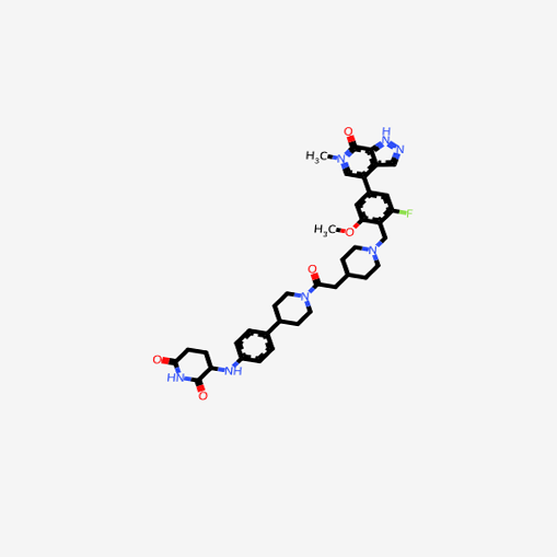 COc1cc(-c2cn(C)c(=O)c3[nH]ncc23)cc(F)c1CN1CCC(CC(=O)N2CCC(c3ccc(NC4CCC(=O)NC4=O)cc3)CC2)CC1